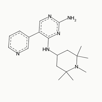 CN1C(C)(C)CC(Nc2nc(N)ncc2-c2cccnc2)CC1(C)C